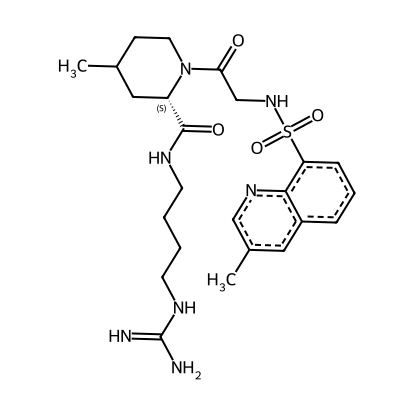 Cc1cnc2c(S(=O)(=O)NCC(=O)N3CCC(C)C[C@H]3C(=O)NCCCCNC(=N)N)cccc2c1